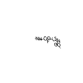 CCOC(=O)c1ncsc1/C=C(\C)COc1ccc(C#CCNC)cc1F